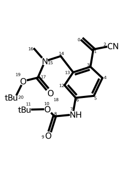 C=C(C#N)c1ccc(NC(=O)OC(C)(C)C)cc1CN(C)C(=O)OC(C)(C)C